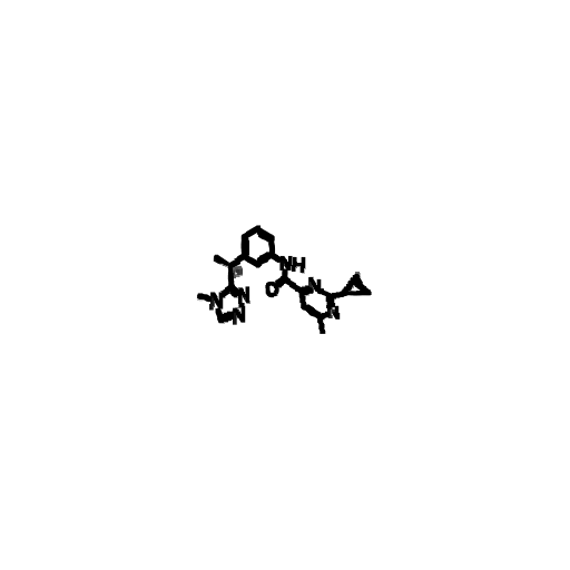 Cc1cc(C(=O)Nc2cccc([C@H](C)c3nncn3C)c2)nc(C2CC2)n1